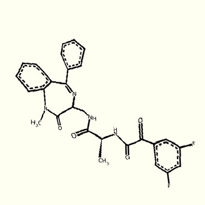 C[C@H](NC(=O)C(=O)c1cc(F)cc(F)c1)C(=O)NC1N=C(c2ccccc2)c2ccccc2N(C)C1=O